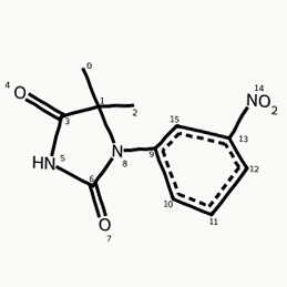 CC1(C)C(=O)NC(=O)N1c1cccc([N+](=O)[O-])c1